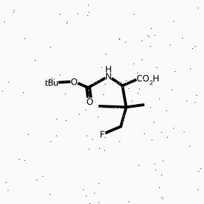 CC(C)(C)OC(=O)NC(C(=O)O)C(C)(C)CF